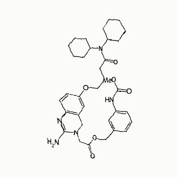 COC(=O)Nc1cccc(COC(=O)CN2Cc3cc(OCCCC(=O)N(C4CCCCC4)C4CCCCC4)ccc3N=C2N)c1